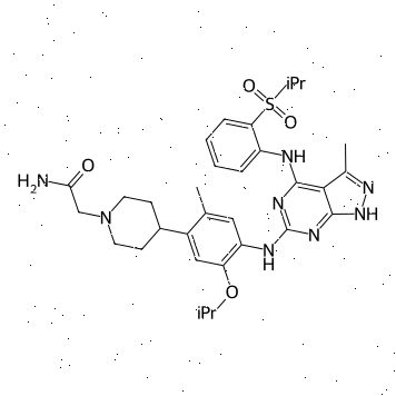 Cc1cc(Nc2nc(Nc3ccccc3S(=O)(=O)C(C)C)c3c(C)n[nH]c3n2)c(OC(C)C)cc1C1CCN(CC(N)=O)CC1